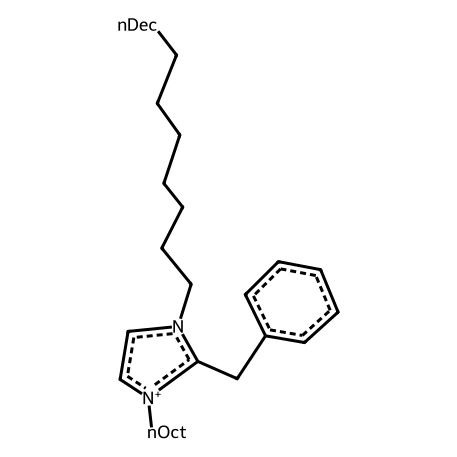 CCCCCCCCCCCCCCCCCn1cc[n+](CCCCCCCC)c1Cc1ccccc1